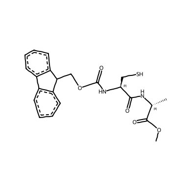 COC(=O)[C@@H](C)NC(=O)[C@H](CS)NC(=O)OCC1c2ccccc2-c2ccccc21